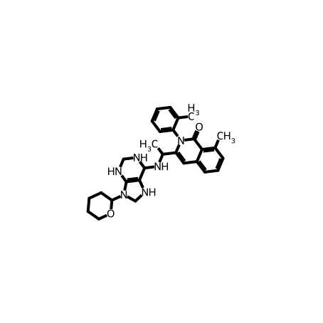 Cc1ccccc1-n1c(C(C)NC2NCNC3=C2NCN3C2CCCCO2)cc2cccc(C)c2c1=O